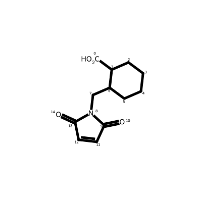 O=C(O)C1CCCCC1CN1C(=O)C=CC1=O